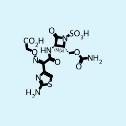 NC(=O)OC[C@@H]1[C@H](NC(=O)C(=NOCC(=O)O)c2csc(N)n2)C(=O)N1S(=O)(=O)O